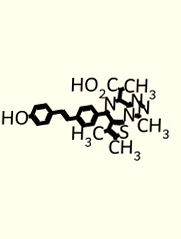 Cc1sc2c(c1C)C(c1ccc(C=Cc3ccc(O)cc3)cc1)=NC([C@H](C)C(=O)O)c1nnc(C)n1-2